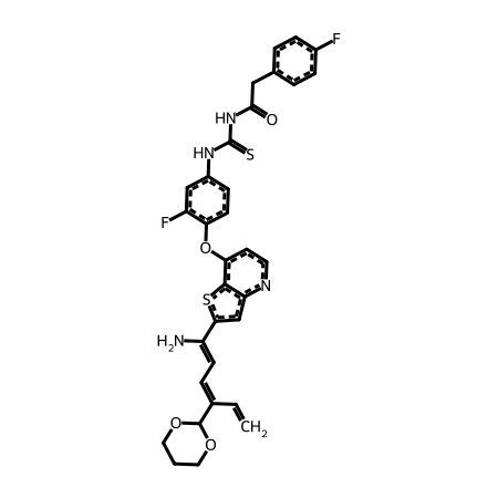 C=C/C(=C\C=C(/N)c1cc2nccc(Oc3ccc(NC(=S)NC(=O)Cc4ccc(F)cc4)cc3F)c2s1)C1OCCCO1